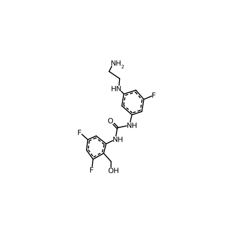 NCCNc1cc(F)cc(NC(=O)Nc2cc(F)cc(F)c2CO)c1